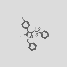 O=S(=O)(Nc1nn(Cc2ccccc2)c(C(F)(F)F)c1-c1ccc(F)cc1)c1ccccc1